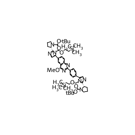 COc1nc(-c2ccc(-c3cnc([C@@H]4CCCN4C(=O)OC(C)(C)C)n3COCC[Si](C)(C)C)cc2)nc2ccc(-c3cnc([C@@H]4CCCN4C(=O)OC(C)(C)C)n3COCC[Si](C)(C)C)cc12